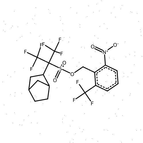 O=[N+]([O-])c1cccc(C(F)(F)F)c1COS(=O)(=O)C(C1CC2CCC1C2)(C(F)(F)F)C(F)(F)F